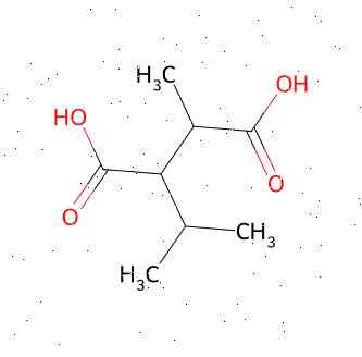 CC(C)C(C(=O)O)C(C)C(=O)O